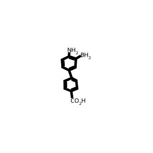 Bc1cc(-c2ccc(C(=O)O)cc2)ccc1N